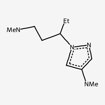 CCC(CCNC)n1cc(NC)cn1